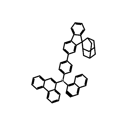 c1cc2ccccc2c(N(c2ccc(-c3ccc4c(c3)C3(c5ccccc5-4)C4CC5CC(C4)CC3C5)cc2)c2cc3ccccc3c3ccccc23)c#1